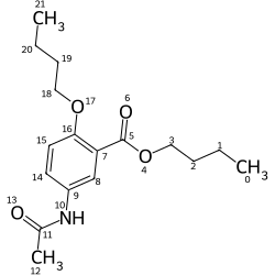 CCCCOC(=O)c1cc(NC(C)=O)ccc1OCCCC